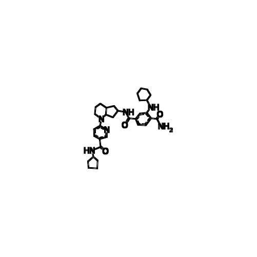 NC(=O)c1ccc(C(=O)NC2CC3CCCN(c4ccc(C(=O)NC5CCCC5)cn4)C3C2)cc1NC1CCCCC1